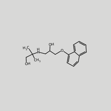 CC(C)(CO)NCC(O)COc1cccc2ccccc12